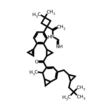 C=C(NC=N)C1(c2ccc(C3=CC3)c(C3CC3C(=O)C3=CC(CC4CC4CC(C)(C)C)=CC4CC4C3C)c2)CC(C)(C)C1